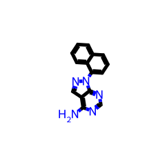 Nc1ncnc2c1cnn2-c1cccc2ccccc12